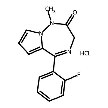 CN1C(=O)CN=C(c2ccccc2F)c2cccn21.Cl